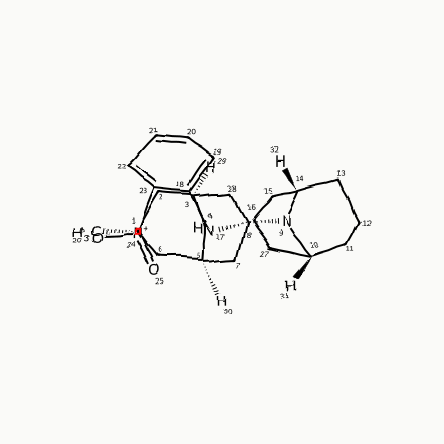 C[C@@H]1C[C@@H]2C[C@H](C1)C[C@@H](N1[C@@H]3CCC[C@H]1C[C@@H](Nc1ccccc1[N+](=O)[O-])C3)C2